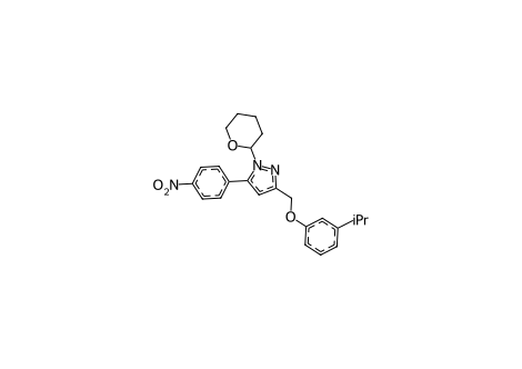 CC(C)c1cccc(OCc2cc(-c3ccc([N+](=O)[O-])cc3)n(C3CCCCO3)n2)c1